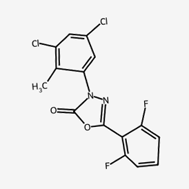 Cc1c(Cl)cc(Cl)cc1-n1nc(-c2c(F)cccc2F)oc1=O